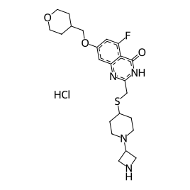 Cl.O=c1[nH]c(CSC2CCN(C3CNC3)CC2)nc2cc(OCC3CCOCC3)cc(F)c12